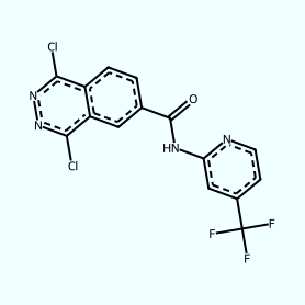 O=C(Nc1cc(C(F)(F)F)ccn1)c1ccc2c(Cl)nnc(Cl)c2c1